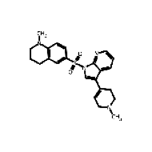 CN1CC=C(c2cn(S(=O)(=O)c3ccc4c(c3)CCCN4C)c3ncccc23)CC1